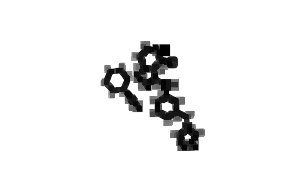 N#C[C@H]1CCCC[C@@H]1n1nc(Nc2cccc(Cn3cnnc3)c2)c2c(=O)[nH]ccc21